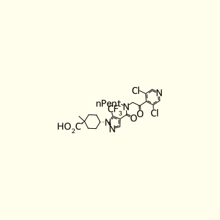 CCCCCN(CC(=O)c1c(Cl)cncc1Cl)C(=O)c1cnn([C@H]2CC[C@](C)(C(=O)O)CC2)c1C(F)(F)F